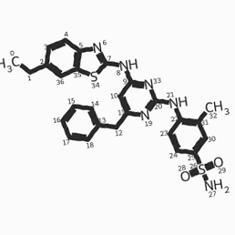 CCc1ccc2nc(Nc3cc(Cc4ccccc4)nc(Nc4ccc(S(N)(=O)=O)cc4C)n3)sc2c1